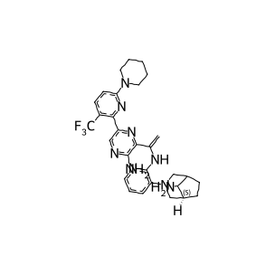 C=C(Nc1ncccc1N1CC2CC[C@@H](C1)C2N)c1nc(-c2nc(N3CCCCC3)ccc2C(F)(F)F)cnc1N